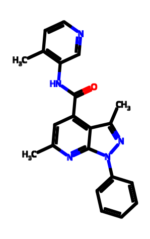 Cc1cc(C(=O)Nc2cnccc2C)c2c(C)nn(-c3ccccc3)c2n1